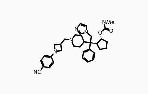 CNC(=O)O[C@@H]1CCC[C@H]1C(Cn1ccnc1)(c1ccccc1)C1CCN(CC2CN(c3ccc(C#N)cc3)C2)CC1